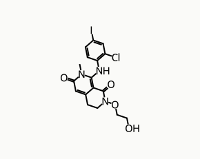 Cn1c(Nc2ccc(I)cc2Cl)c2c(cc1=O)CCN(OCCO)C2=O